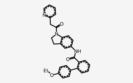 CCOc1ccc(-c2ccccc2C(=O)Nc2ccc3c(c2)CCN3C(=O)Cc2ccccn2)cc1